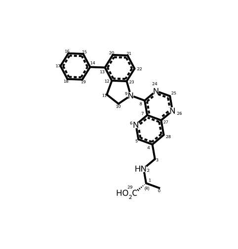 C[C@@H](NCc1cnc2c(N3CCc4c(-c5ccccc5)cccc43)ncnc2c1)C(=O)O